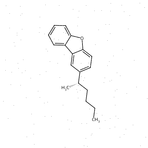 CCCC[C@H](C)c1ccc2oc3ccccc3c2c1